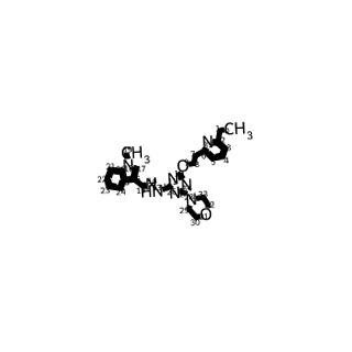 CCc1cccc(CCOc2nc(NN=Cc3cn(C)c4ccccc34)nc(N3CCOCC3)n2)n1